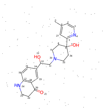 Cc1ccnc(C2(O)CCN(CC(O)c3ccc4c(c3)C(=O)CCN4)CC2)c1